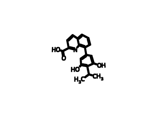 CC(C)c1c(O)cc(-c2cccc3ccc(C(=O)O)nc23)cc1O